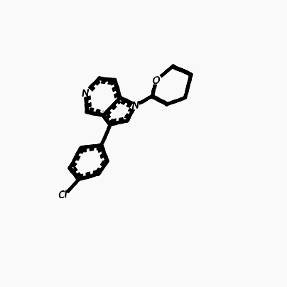 Clc1ccc(-c2cn(C3CCCCO3)c3ccncc23)cc1